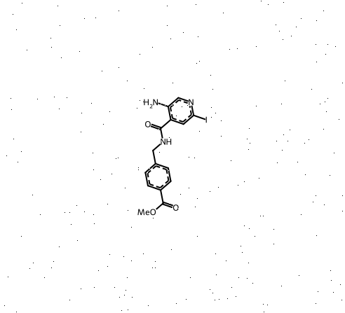 COC(=O)c1ccc(CNC(=O)c2cc(I)ncc2N)cc1